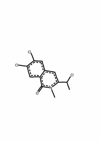 CC(Cl)c1cc2cc(Cl)c(Cl)cc2c(=O)n1C